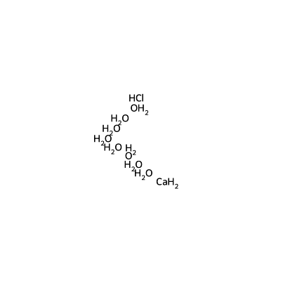 Cl.O.O.O.O.O.O.O.O.[CaH2]